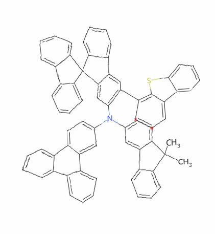 CC1(C)c2ccccc2-c2cc(N(c3ccc4c5ccccc5c5ccccc5c4c3)c3cc4c(cc3-c3cccc5c3sc3ccccc35)-c3ccccc3C43c4ccccc4-c4ccccc43)ccc21